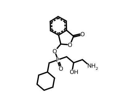 NCC(O)CP(=O)(CC1CCCCC1)OC1OC(=O)c2ccccc21